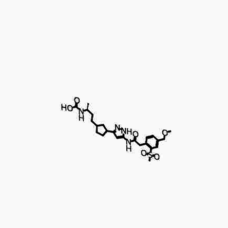 COCc1ccc(CC(=O)Nc2cc(C3CCC(CC[C@H](C)NC(=O)O)C3)n[nH]2)c(S(C)(=O)=O)c1